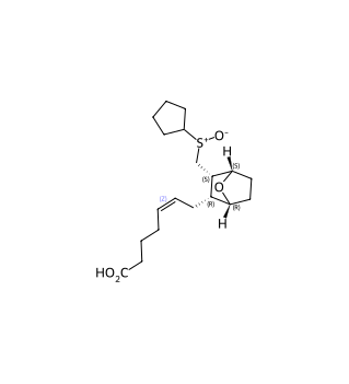 O=C(O)CCC/C=C\C[C@@H]1[C@H](C[S+]([O-])C2CCCC2)[C@@H]2CC[C@H]1O2